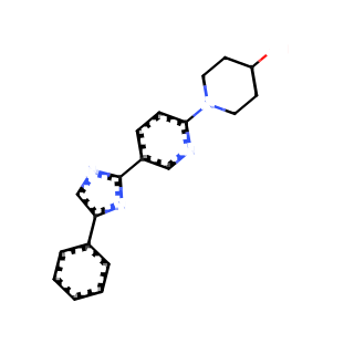 OC1CCN(c2ccc(-c3nc(-c4ccccc4)c[nH]3)cn2)CC1